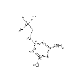 CC(F)(F)COc1cc(N)cc(Cl)n1